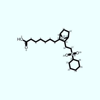 O=C(O)CCCCCCC1C2CCC(O2)C1CCS(=O)(=O)C1CCCCC1